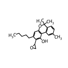 CCCCCc1cc2c(c(O)c1C1CO1)-c1cc(C)ccc1C(C)(C)O2